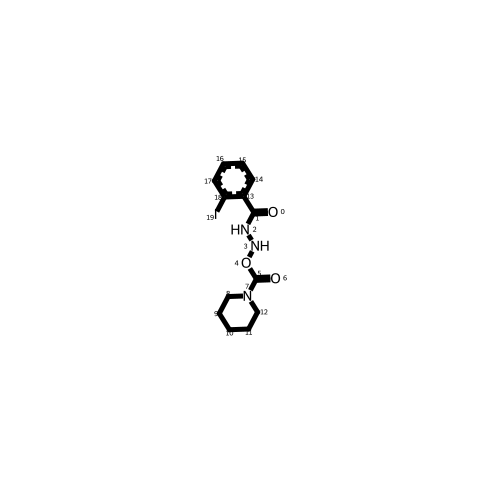 O=C(NNOC(=O)N1CCCCC1)c1ccccc1I